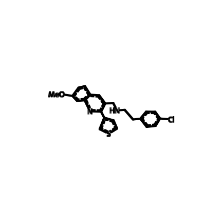 COc1ccc2cc(CNCCc3ccc(Cl)cc3)c(-c3ccsc3)nc2c1